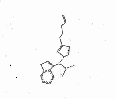 C=CCCCC1=CC(B(C2=CCc3ccccc32)N(C(C)C)C(C)C)C=C1